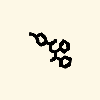 O=C(CC(C(=O)c1ccccc1)c1ccccc1)c1ccc(Br)cc1